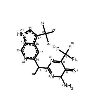 CC(C1=NC(N)C(=S)C(C(F)(F)F)=N1)c1cc2c(C(C)(C)C)c[nH]c2cn1